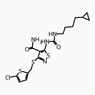 NC(=O)c1c(SCc2ccc(Cl)s2)nsc1NC(=O)NCCCCC1CC1